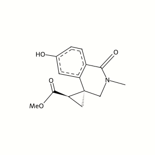 COC(=O)[C@@H]1C[C@]12CN(C)C(=O)c1ccc(O)cc12